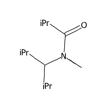 CC(C)C(=O)N(C)C(C(C)C)C(C)C